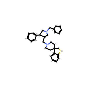 c1ccc(CN2CC(CN3CCC4(CC3)CSc3ccccc34)C(c3ccccc3)C2)cc1